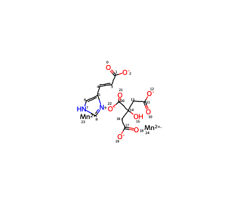 O=C([O-])C=Cc1c[nH]cn1.O=C([O-])CC(O)(CC(=O)[O-])C(=O)[O-].[Mn+2].[Mn+2]